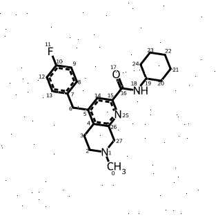 CN1CCc2c(Cc3ccc(F)cc3)cc(C(=O)NC3CCCCC3)nc2C1